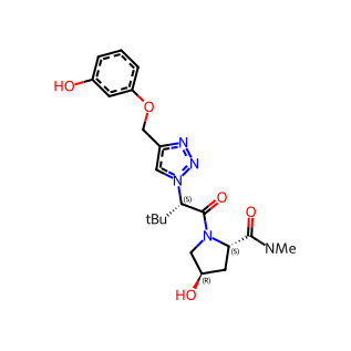 CNC(=O)[C@@H]1C[C@@H](O)CN1C(=O)[C@@H](n1cc(COc2cccc(O)c2)nn1)C(C)(C)C